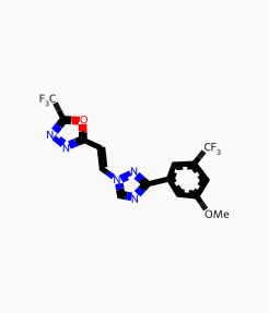 COc1cc(-c2ncn(C=Cc3nnc(C(F)(F)F)o3)n2)cc(C(F)(F)F)c1